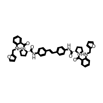 O=C(Nc1ccc(/C=C/c2ccc(NC(=O)[C@@H]3CCCN3C(=O)c3ccccc3NCc3ccco3)cc2)cc1)[C@@H]1CCCN1C(=O)c1ccccc1NCc1ccco1